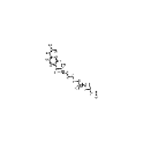 CCCCCNC(=O)CCCCCNC(=O)[C@H](C)c1ccc(CC(C)C)cc1